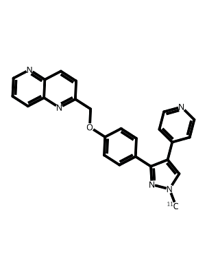 [11CH3]n1cc(-c2ccncc2)c(-c2ccc(OCc3ccc4ncccc4n3)cc2)n1